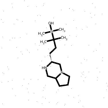 CC(C)(CC[C@@H]1CN2CCCC2CN1)[Si](C)(C)O